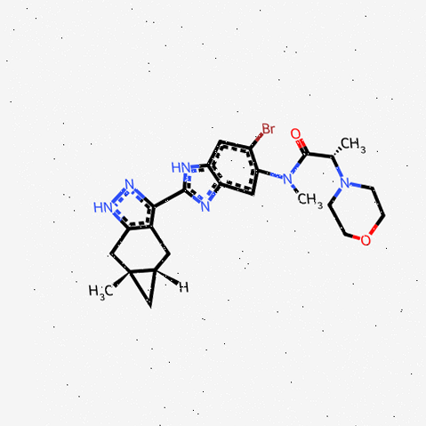 C[C@@H](C(=O)N(C)c1cc2nc(-c3n[nH]c4c3C[C@@H]3C[C@]3(C)C4)[nH]c2cc1Br)N1CCOCC1